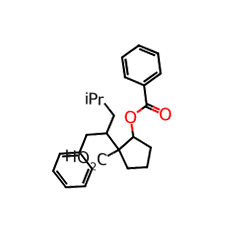 CC(C)CC(Cc1ccccc1)C1(C(=O)O)CCCC1OC(=O)c1ccccc1